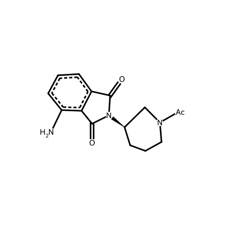 CC(=O)N1CCC[C@@H](N2C(=O)c3cccc(N)c3C2=O)C1